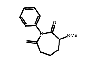 C=C1CCCC(NC)C(=O)N1c1ccccc1